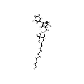 CCCCCCCCCCCCC(CCCc1c(C)[nH]n(-c2ccccc2)c1=O)C(C)(C)C